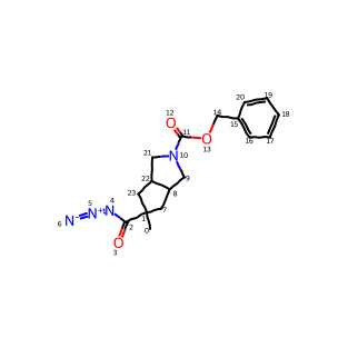 CC1(C(=O)N=[N+]=[N-])CC2CN(C(=O)OCc3ccccc3)CC2C1